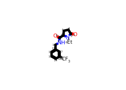 CCN1C(=O)CCC1C(=O)NCc1cccc(C(F)(F)F)c1